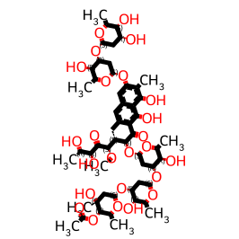 CO[C@H](C(=O)[C@@H](O)[C@@H](C)O)[C@@H]1Cc2cc3cc(O[C@H]4C[C@@H](O[C@H]5C[C@@H](O)[C@H](O)C(C)O5)[C@H](O)C(C)O4)c(C)c(O)c3c(O)c2C(=O)[C@H]1O[C@H]1C[C@@H](O[C@H]2C[C@@H](O[C@H]3C[C@](C)(O)[C@H](OC(C)=O)C(C)O3)[C@@H](O)C(C)O2)[C@H](O)C(C)O1